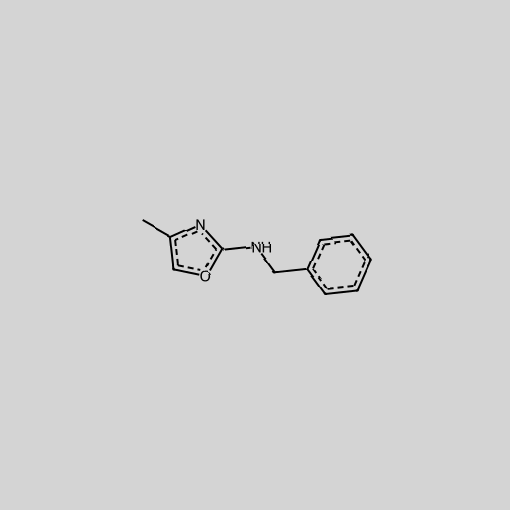 Cc1coc(NCc2ccccc2)n1